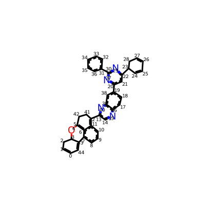 C1=CCC2OC3=c4c(cccc4=C(c4cnc5ccc(-c6cc(C7C=CC=CC7)nc(-c7ccccc7)n6)cc5n4)CC3)C2=C1